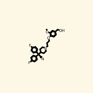 COc1cc(CO)ccc1OCCCN1CCC(C(C#N)(c2ccc(F)cc2)c2ccc(F)cc2)CC1